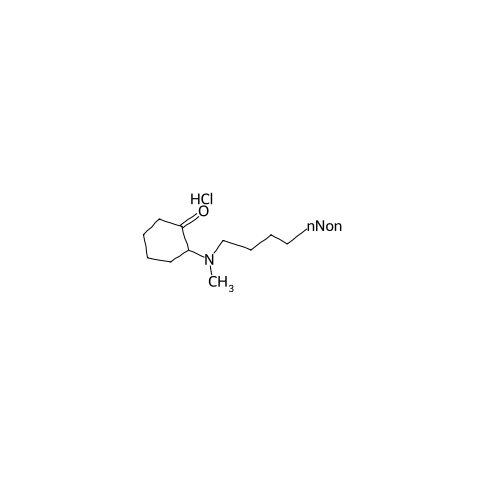 CCCCCCCCCCCCCN(C)C1CCCCC1=O.Cl